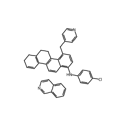 Clc1ccc(Nc2ccc(Cc3ccncc3)c3c4c(ccc23)C2=C(CCC=C2)CC4)cc1.c1ccc2cnccc2c1